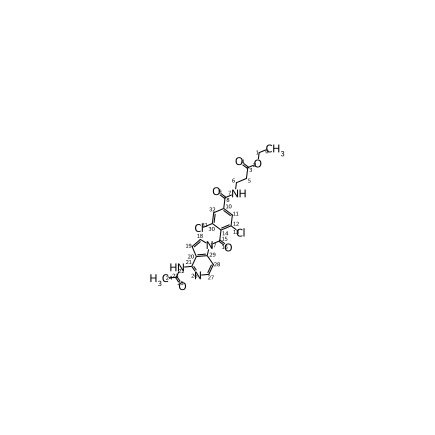 CCOC(=O)CCNC(=O)c1cc(Cl)c(C(=O)n2ccc3c(NC(C)=O)nccc32)c(Cl)c1